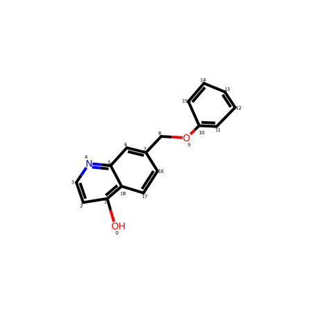 Oc1ccnc2cc(COc3ccccc3)ccc12